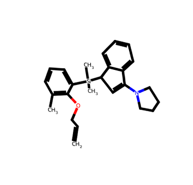 C=CCOc1c(C)cccc1[Si](C)(C)C1C=C(N2CCCC2)c2ccccc21